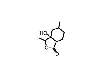 CC1CCC2C(=O)OC(C)C2(O)C1